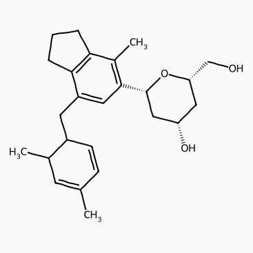 CC1=CC(C)C(Cc2cc([C@H]3C[C@@H](O)C[C@@H](CO)O3)c(C)c3c2CCC3)C=C1